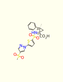 C[C@]1(c2ccccc2)C[C@@]1(NS(=O)(=O)c1ccc(-n2cc(S(C)(=O)=O)cn2)s1)C(=O)O